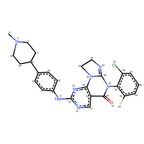 CN1CCC(c2ccc(Nc3ncc4c(n3)N3CCN=C3N(c3c(F)cccc3Cl)C4=O)cc2)CC1